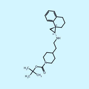 CC(C)(C)OC(=O)N1CCC(CCN[C@@H]2C[C@@]23CCCc2ccccc23)CC1